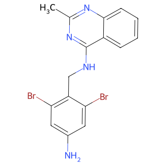 Cc1nc(NCc2c(Br)cc(N)cc2Br)c2ccccc2n1